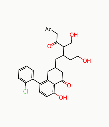 CC(=O)CC(=O)C(CO)C(CCO)CC1CC(=O)c2c(O)ccc(-c3ccccc3Cl)c2C1